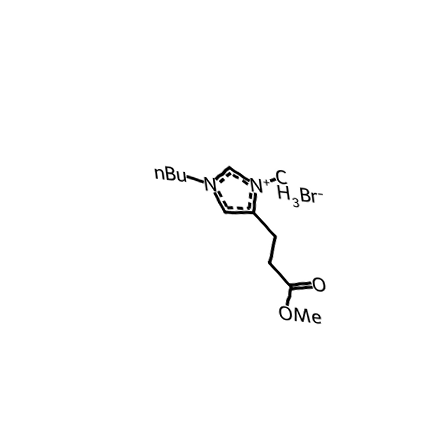 CCCCn1cc(CCC(=O)OC)[n+](C)c1.[Br-]